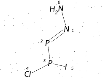 N/N=P/P(Cl)I